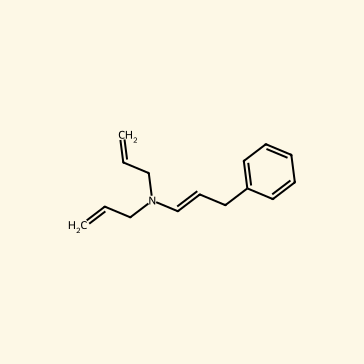 C=CCN(C=CCc1ccccc1)CC=C